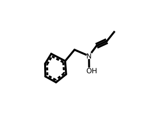 CC#CN(O)Cc1ccccc1